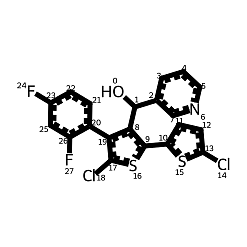 OC(c1cccnc1)c1c(-c2ccc(Cl)s2)sc(Cl)c1-c1ccc(F)cc1F